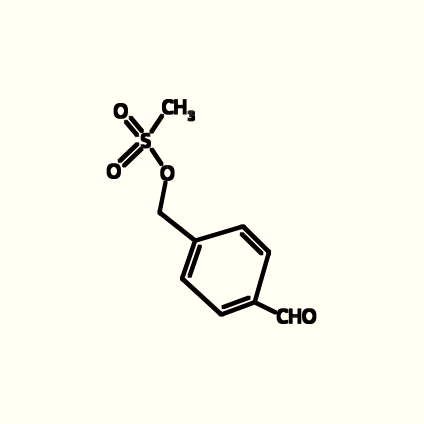 CS(=O)(=O)OCc1ccc(C=O)cc1